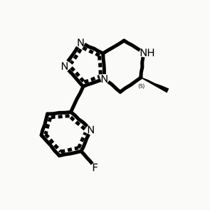 C[C@H]1Cn2c(nnc2-c2cccc(F)n2)CN1